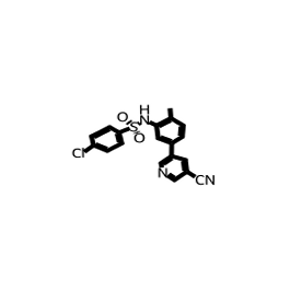 Cc1ccc(-c2cncc(C#N)c2)cc1NS(=O)(=O)c1ccc(Cl)cc1